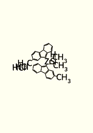 Cc1ccc2c(c1)[C]([Zr]([C]1=C3C=CC=CC3c3ccc(C)cc31)[SiH](C)C)=C1C=CC=CC12.Cl.Cl